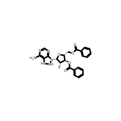 Nc1ncnc2c1NNN2[C@@H]1O[C@H](COC(=O)c2ccccc2)[C@@H](OC(=O)c2ccccc2)[C@@H]1F